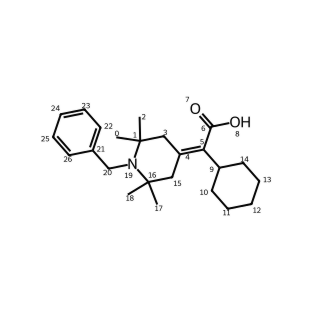 CC1(C)CC(=C(C(=O)O)C2CCCCC2)CC(C)(C)N1Cc1ccccc1